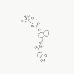 CC(C)(N)CCNC(=O)COc1ccc(/C=N/NC(=O)c2ccc(O)c(Cl)c2)c2ccccc12